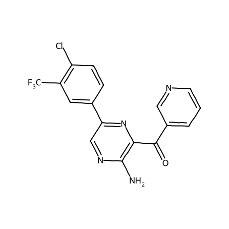 Nc1ncc(-c2ccc(Cl)c(C(F)(F)F)c2)nc1C(=O)c1cccnc1